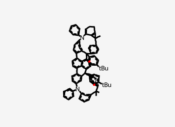 CC(C)(C)c1ccc(C23c4ccc(cc4)C4(C)C5=C4C(=CCC5)N(c4ccccc4)c4ccc(c2c4)-c2ccc4c5c(ccc3c25)C2(c3ccc(C(C)(C)C)cc3)c3ccc(cc3)C(C)(C)c3cccc(c3)N(c3ccccc3)c3ccc-4c2c3)cc1